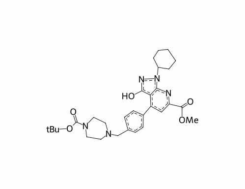 COC(=O)c1cc(-c2ccc(CN3CCN(C(=O)OC(C)(C)C)CC3)cc2)c2c(O)nn(C3CCCCC3)c2n1